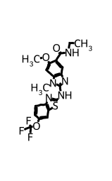 CCNC(=O)c1cc2nc(Nc3nc4ccc(OC(F)(F)F)cc4s3)n(C)c2cc1OC